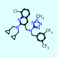 Cn1nnc(N(Cc2cc(C(F)(F)F)cc(C(F)(F)F)c2)Cc2cc3cccc(Cl)c3nc2N(CC2CC2)CC2CC2)n1